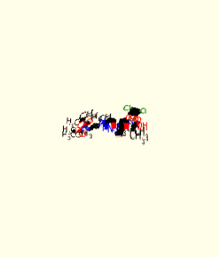 CN(CCCN(C(=O)OC(C)(C)C)C(=O)OC(C)(C)C)c1ccc(-n2ccc3cc(N(C(C(=O)O)C(C)(C)C)S(=O)(=O)c4cc(Cl)cc(Cl)c4)ccc32)nn1